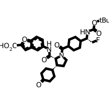 CC(C)(C)OC(=O)N[C@H](CF)C1CCC(C(=O)N2CC[C@H](C3CCC(=O)CC3)[C@@H]2C(=O)Nc2ccc3oc(C(=O)O)cc3c2)CC1